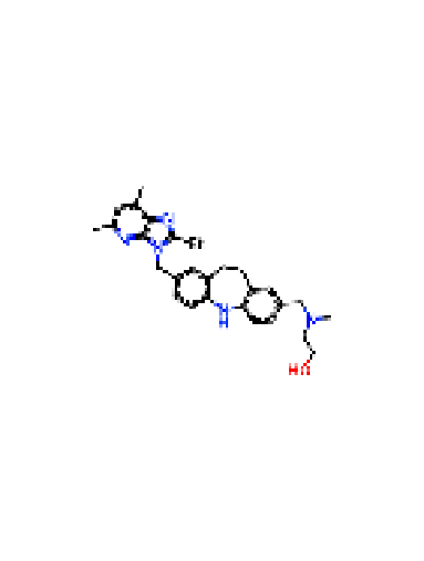 CCc1nc2c(C)cc(C)nc2n1Cc1ccc2c(c1)CCc1cc(CN(C)CCO)ccc1N2